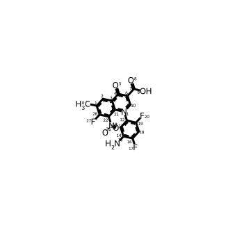 Cc1cc2c(=O)c(C(=O)O)cn(-c3cc(N)c(F)cc3F)c2c([N+](=O)[O-])c1F